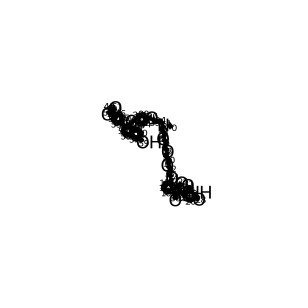 CCN(CCOCCOCCOCCOc1cccc2c1C(=O)N(C1CCC(=O)NC1=O)C2=O)CCOc1ccc(Oc2c(-c3ccc(S(C)(=O)=O)cc3)ccc3cc(O)ccc23)cc1